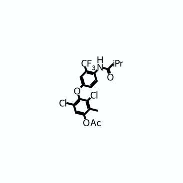 CC(=O)Oc1cc(Cl)c(Oc2ccc(NC(=O)C(C)C)c(C(F)(F)F)c2)c(Cl)c1C